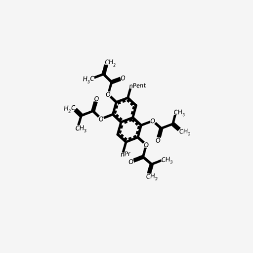 C=C(C)C(=O)Oc1c(CCC)cc2c(OC(=O)C(=C)C)c(OC(=O)C(=C)C)c(CCCCC)cc2c1OC(=O)C(=C)C